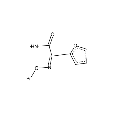 CC(C)ON=C(C([NH])=O)c1ccco1